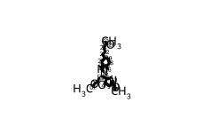 CCOC(=O)C[C@@H](c1ccc(OC)nc1)n1cc2ccc(CCCC(C)=O)cc2n1